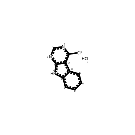 Cl.Clc1ncnc2[nH]c3ccccc3c12